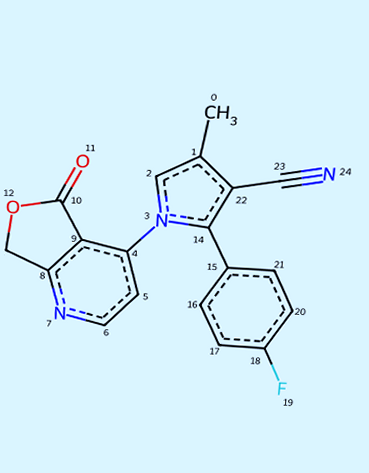 Cc1cn(-c2ccnc3c2C(=O)OC3)c(-c2ccc(F)cc2)c1C#N